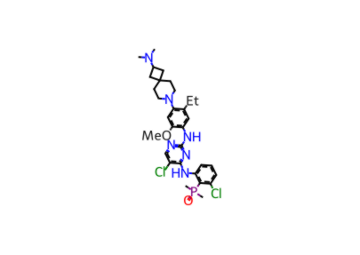 CCc1cc(Nc2ncc(Cl)c(Nc3cccc(Cl)c3P(C)(C)=O)n2)c(OC)cc1N1CCC2(CC1)CC(N(C)C)C2